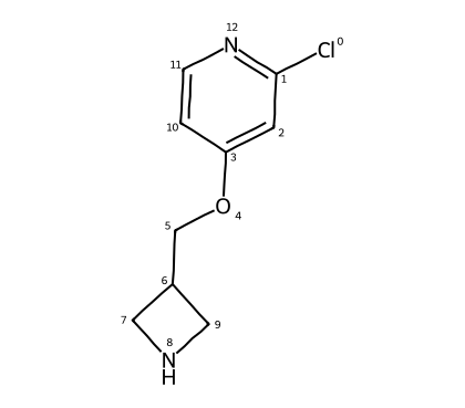 Clc1cc(OCC2CNC2)ccn1